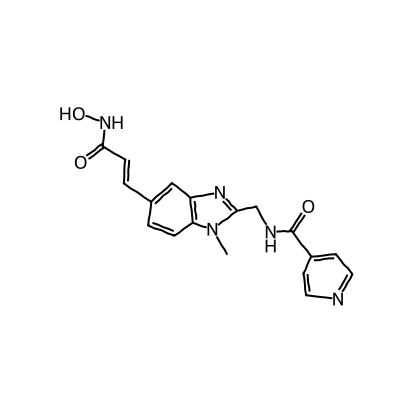 Cn1c(CNC(=O)c2ccncc2)nc2cc(C=CC(=O)NO)ccc21